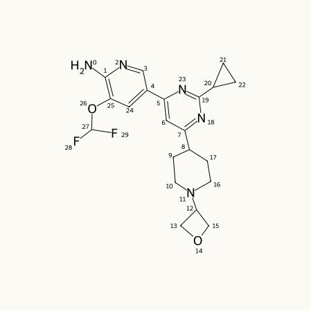 Nc1ncc(-c2cc(C3CCN(C4COC4)CC3)nc(C3CC3)n2)cc1OC(F)F